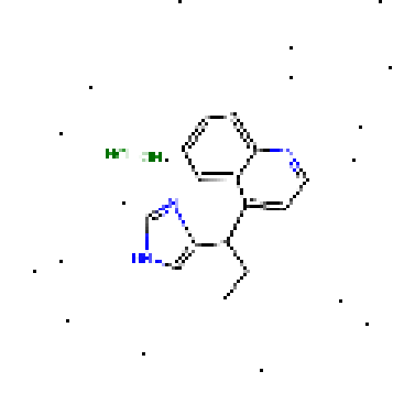 CCC(c1c[nH]cn1)c1ccnc2ccccc12.Cl.Cl